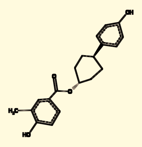 Cc1cc(C(=O)O[C@H]2CC[C@H](c3ccc(O)cc3)CC2)ccc1O